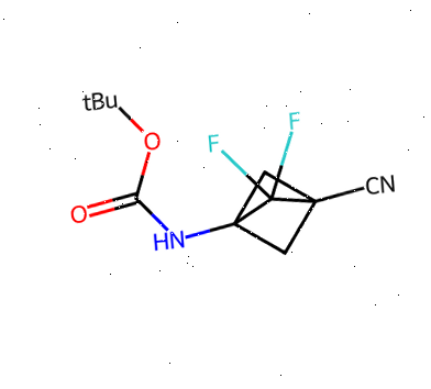 CC(C)(C)OC(=O)NC12CC(C#N)(C1)C2(F)F